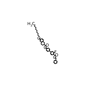 CCCCCCCCCCOc1ccc2c(c1)CCC(C(=O)Oc1ccc(-c3ccc(C(=O)OCc4ccccc4)c(F)c3)cc1)C2